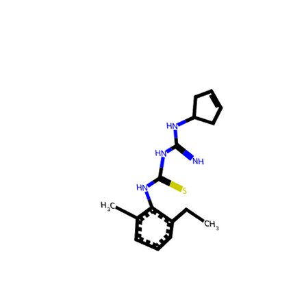 CCc1cccc(C)c1NC(=S)NC(=N)NC1CC=CC1